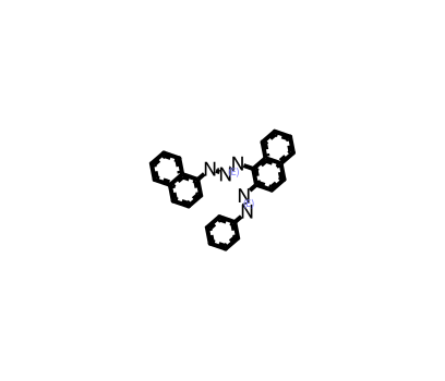 c1ccc(/N=N/c2ccc3ccccc3c2/N=N/[N]c2cccc3ccccc23)cc1